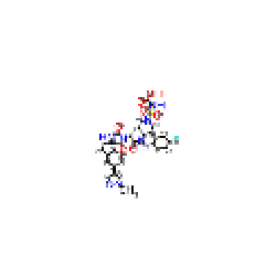 Cn1cc(-c2ccc3c(c2)CCC32NC(=O)N(CC(=O)N(Cc3ccc(F)cc3)C3CCN(S(=O)(=O)NC(=O)O)CC3)C2=O)cn1